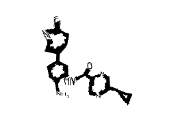 Nc1ccc(-c2ccc(F)nc2)cc1NC(=O)c1cnc(C2CC2)cn1